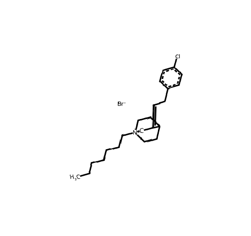 CCCCCCC[N+]12CCC(CC1)C(=CCc1ccc(Cl)cc1)C2.[Br-]